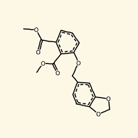 COC(=O)c1cccc(OCc2ccc3c(c2)OCO3)c1C(=O)OC